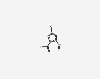 O=[S+]c1cc(Cl)sc1C(=O)O